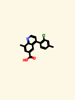 Cc1ccc(-c2ccnc3c(C)cc(C(=O)O)cc23)c(Cl)c1